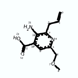 C=CCc1nc(COC)cc(C(=O)O)c1N